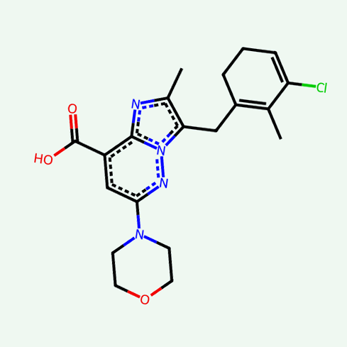 CC1=C(Cc2c(C)nc3c(C(=O)O)cc(N4CCOCC4)nn23)CCC=C1Cl